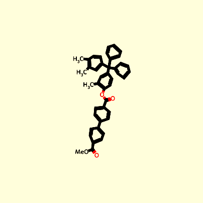 COC(=O)c1ccc(-c2ccc(C(=O)Oc3ccc(C(c4ccccc4)(c4ccccc4)c4ccc(C)c(C)c4)cc3C)cc2)cc1